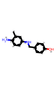 Cc1cc(NCc2ccc(O)cc2)ccc1N